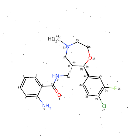 Nc1ccccc1C(=O)NC[C@@H]1CN(C(=O)O)CCO[C@H]1c1ccc(Cl)c(F)c1